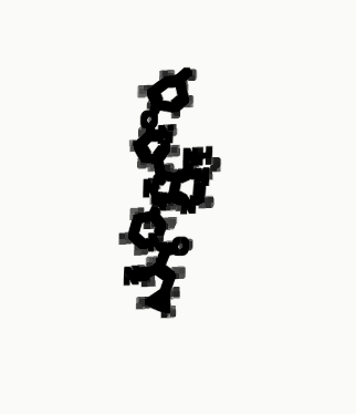 Cc1ccc(Oc2ccc(-c3nn(C4CCCN(C(=O)C(C#N)=CC5CC5)C4)c4ncnc(N)c34)cn2)cc1